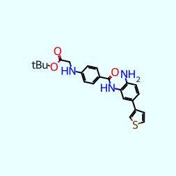 CC(C)(C)OC(=O)CNc1ccc(C(=O)Nc2cc(-c3ccsc3)ccc2N)cc1